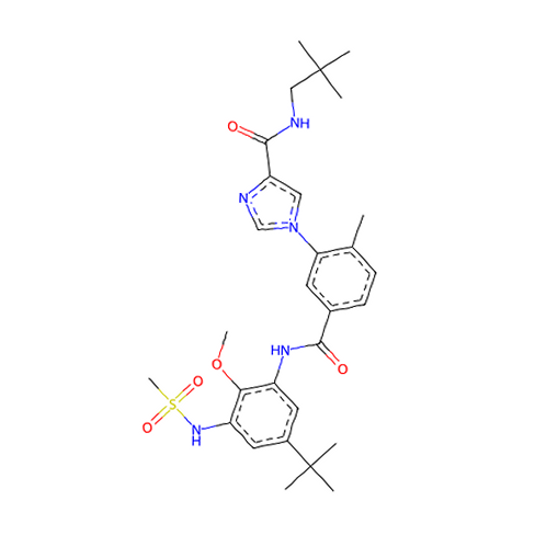 COc1c(NC(=O)c2ccc(C)c(-n3cnc(C(=O)NCC(C)(C)C)c3)c2)cc(C(C)(C)C)cc1NS(C)(=O)=O